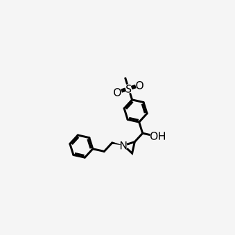 CS(=O)(=O)c1ccc(C(O)C2C[N@@]2CCc2ccccc2)cc1